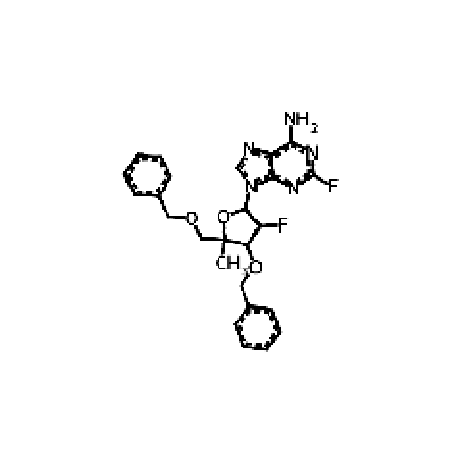 CC1(COCc2ccccc2)OC(n2cnc3c(N)nc(F)nc32)C(F)C1OCc1ccccc1